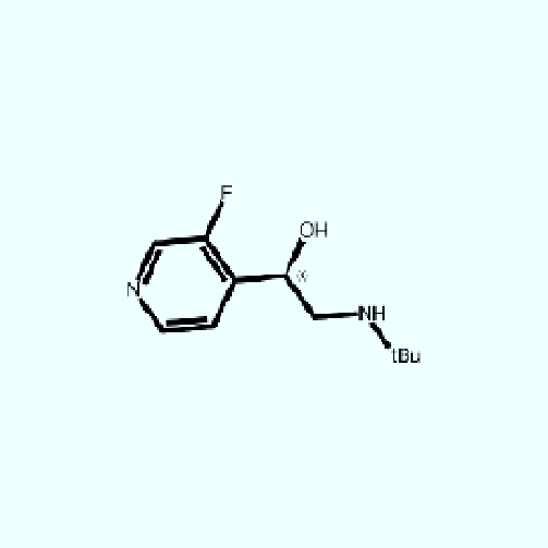 CC(C)(C)NC[C@H](O)c1ccncc1F